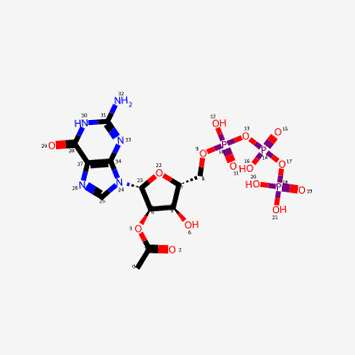 CC(=O)O[C@@H]1[C@H](O)[C@@H](COP(=O)(O)OP(=O)(O)OP(=O)(O)O)O[C@H]1n1cnc2c(=O)[nH]c(N)nc21